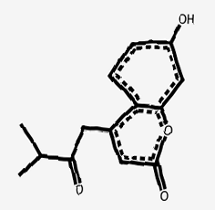 CC(C)C(=O)Cc1cc(=O)oc2cc(O)ccc12